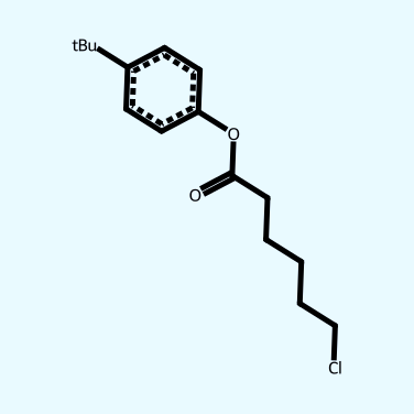 CC(C)(C)c1ccc(OC(=O)CCCCCCl)cc1